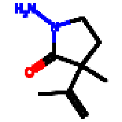 C=C(C)C1(C)CCN(N)C1=O